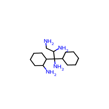 NCC(N)C(N)(C1CCCCC1)C1CCCCC1N